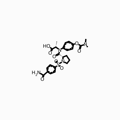 C[C@@H](C(=O)O)N(C(=O)[C@@H]1CCCN1S(=O)(=O)c1ccc(C(N)=O)cc1)c1ccc(OC(=O)N(C)C)cc1